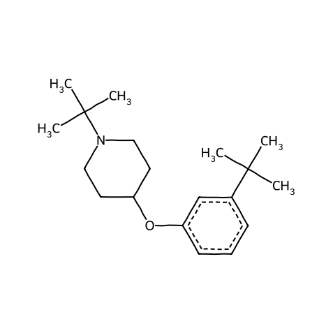 CC(C)(C)c1cccc(OC2CCN(C(C)(C)C)CC2)c1